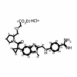 CCOC(=O)COCC1CCCN1C(=O)C1(c2ccc3c(c2)nc(CNc2ccc(C(=N)N)cc2)n3C)CC1.Cl